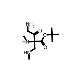 CNCC(NC)(C(=O)CN)C(=O)OC(C)(C)C